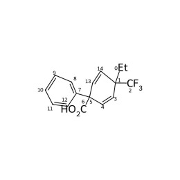 CCC1(C(F)(F)F)C=CC(C(=O)O)(c2ccccc2)C=C1